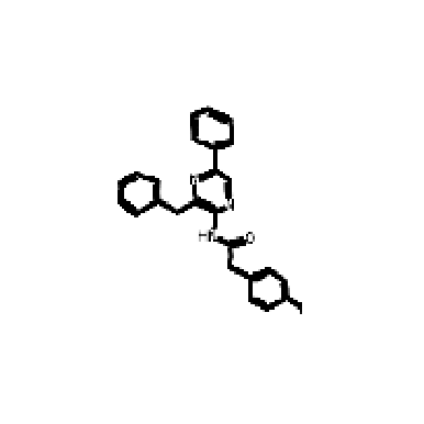 O=C(Cc1ccc(I)cc1)Nc1ncc(-c2ccccc2)nc1Cc1ccccc1